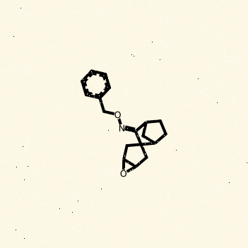 c1ccc(CON=C2C3CCC(C3)C23CC2OC2C3)cc1